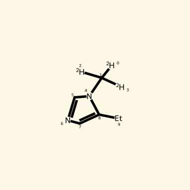 [2H]C([2H])([2H])n1cncc1CC